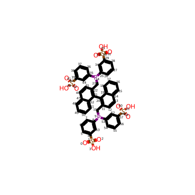 O=S(=O)(O)c1cccc(P(Cc2ccc3ccccc3c2-c2c(CP(c3cccc(S(=O)(=O)O)c3)c3cccc(S(=O)(=O)O)c3)ccc3ccccc23)c2cccc(S(=O)(=O)O)c2)c1